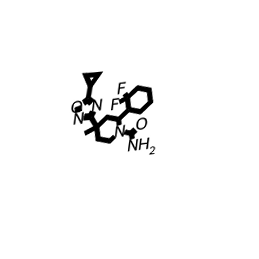 CC1(c2noc(C3CC3)n2)CCN(C(N)=O)C(C2CCCCC2(F)F)C1